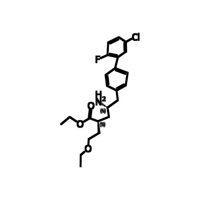 CCOCC[C@H](C[C@H](N)Cc1ccc(-c2cc(Cl)ccc2F)cc1)C(=O)OCC